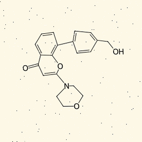 O=c1cc(N2CCOCC2)oc2c(-c3ccc(CO)cc3)cccc12